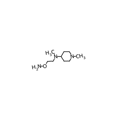 CN1CCC(N(C)CCON)CC1